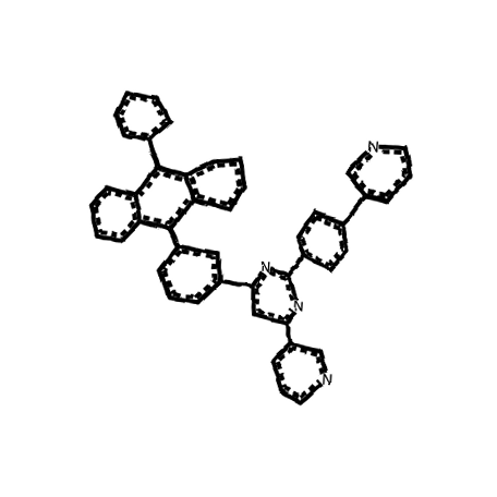 c1ccc(-c2c3ccccc3c(-c3cccc(-c4cc(-c5cccnc5)nc(-c5ccc(-c6cccnc6)cc5)n4)c3)c3ccccc23)cc1